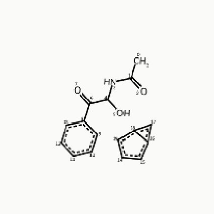 CC(=O)NC(O)C(=O)c1ccccc1.c1cc2cc-2c1